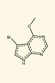 COc1ncnc2[nH]cc(Br)c12